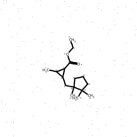 CCOC(=O)C1C(C)C1CC1(C)CCCC1(C)C